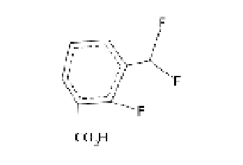 O=C(O)c1cccc(C(F)F)c1F